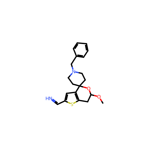 COC1Cc2sc(C=N)cc2C2(CCN(Cc3ccccc3)CC2)O1